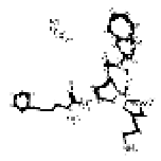 Cl.Cl.Cl.NCCC1CN[C@H](C(=O)N2C[C@H](NC(=O)[C@H](O)CCc3ccccc3)C[C@H]2C(=O)Nc2cnc3ccccc3c2)C1